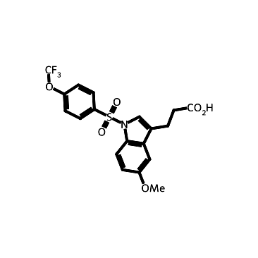 COc1ccc2c(c1)c(CCC(=O)O)cn2S(=O)(=O)c1ccc(OC(F)(F)F)cc1